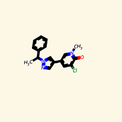 CC(c1ccccc1)n1cc(-c2cc(Cl)c(=O)n(C)c2)cn1